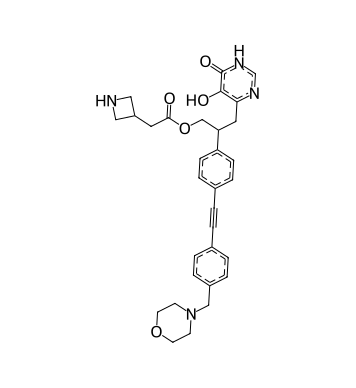 O=C(CC1CNC1)OCC(Cc1nc[nH]c(=O)c1O)c1ccc(C#Cc2ccc(CN3CCOCC3)cc2)cc1